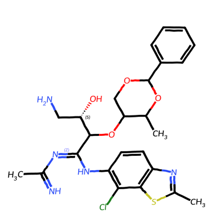 CC(=N)/N=C(\Nc1ccc2nc(C)sc2c1Cl)C(OC1COC(c2ccccc2)OC1C)[C@@H](O)CN